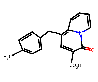 Cc1ccc(Cc2cc(C(=O)O)c(=O)n3ccccc23)cc1